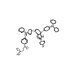 COC(=O)CCC(=O)c1ccc(N(c2ccccc2)c2ccc(-c3ccc(-c4ccc(N(c5ccccc5)c5ccccc5)cc4)c4nn(-c5ccc(F)cc5)nc34)cc2)cc1